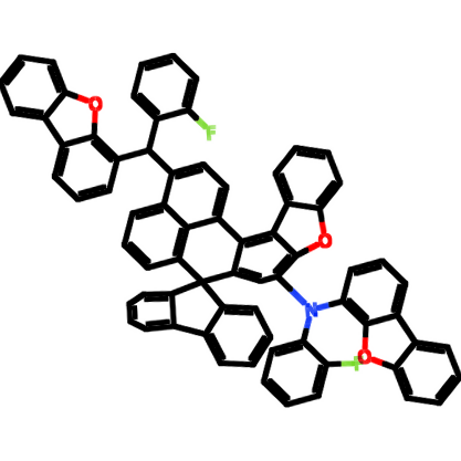 Fc1ccccc1C(c1ccc2c3c(cccc13)C1(c3ccccc3-c3ccccc31)c1cc(N(c3ccccc3F)c3cccc4c3oc3ccccc34)c3oc4ccccc4c3c1-2)c1cccc2c1oc1ccccc12